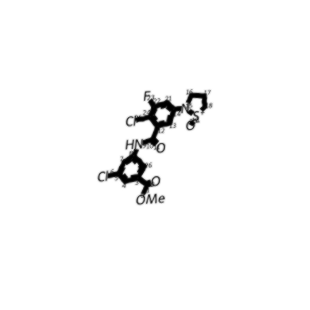 COC(=O)c1cc(Cl)cc(NC(=O)c2cc(N3CCC[S+]3[O-])cc(F)c2Cl)c1